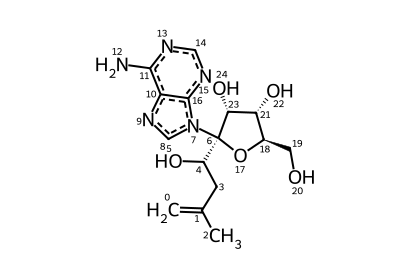 C=C(C)CC(O)[C@@]1(n2cnc3c(N)ncnc32)O[C@H](CO)[C@@H](O)[C@H]1O